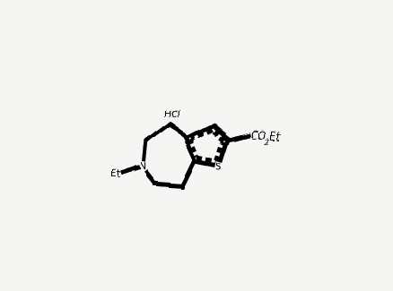 CCOC(=O)c1cc2c(s1)CCN(CC)CC2.Cl